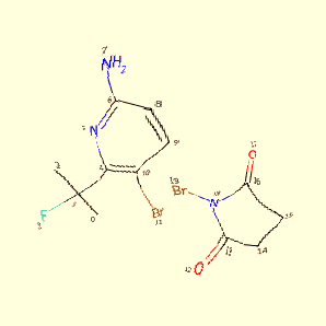 CC(C)(F)c1nc(N)ccc1Br.O=C1CCC(=O)N1Br